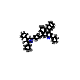 CC1C(c2ccccc2)=CC(c2ccc(-c3cc4nc(-c5ccccc5)cc(-c5ccc6ccccc6c5)c4c4ccccc34)cc2)=NC1c1ccccc1